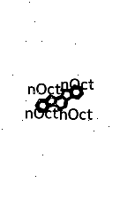 CCCCCCCCC1(CCCCCCCC)C=C2C(=C3C=c4ccccc4=C31)C(CCCCCCCC)(CCCCCCCC)c1ccccc12